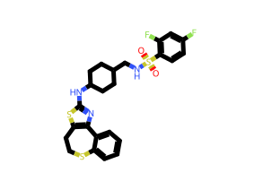 O=S(=O)(NCC1CCC(Nc2nc3c(s2)CCSc2ccccc2-3)CC1)c1ccc(F)cc1F